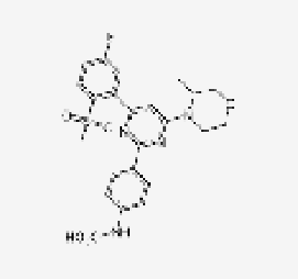 CC1COCCN1c1cc(-c2cc(F)ccc2S(C)(=O)=O)nc(-c2ccc(NC(=O)O)cc2)n1